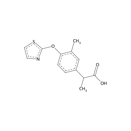 Cc1cc(C(C)C(=O)O)ccc1Oc1nccs1